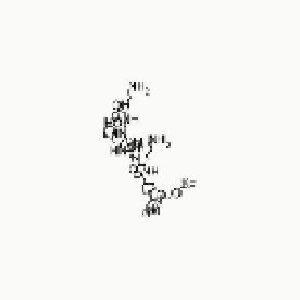 CN(OCCOCC[18F])C(C[N+](=O)[O-])c1ccc(C(=O)N[C@@H](CCCCN)C(=O)NC[C@H](O)N[C@@H](Cc2ccccc2)[C@@H](O)NC[C@H](O)N[C@@H](CCCCN)C(=O)O)cc1